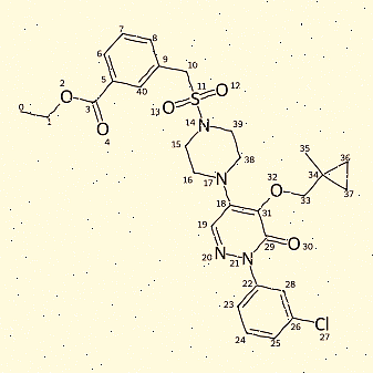 CCOC(=O)c1cccc(CS(=O)(=O)N2CCN(c3cnn(-c4cccc(Cl)c4)c(=O)c3OCC3(C)CC3)CC2)c1